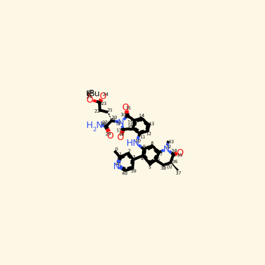 Cc1cc(-c2cc3c(cc2Nc2cccc4c2C(=O)N([C@@H](CCC(=O)OC(C)(C)C)C(N)=O)C4=O)N(C)C(=O)[C@@H](C)C3)ccn1